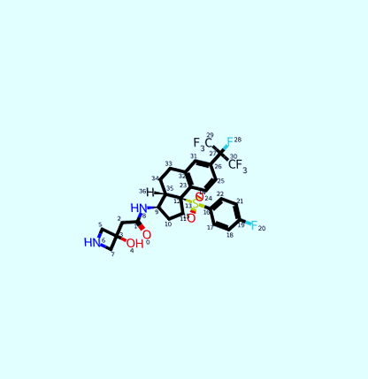 O=C(CC1(O)CNC1)N[C@@H]1CC[C@@]2(S(=O)(=O)c3ccc(F)cc3)c3ccc(C(F)(C(F)(F)F)C(F)(F)F)cc3CC[C@@H]12